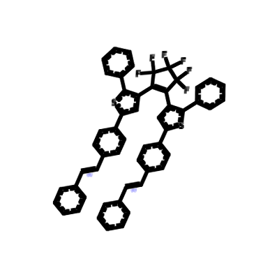 FC1(F)C(c2cc(-c3ccc(/C=C/c4ccccc4)cc3)sc2-c2ccccc2)=C(c2cc(-c3ccc(/C=C/c4ccccc4)cc3)sc2-c2ccccc2)C(F)(F)C1(F)F